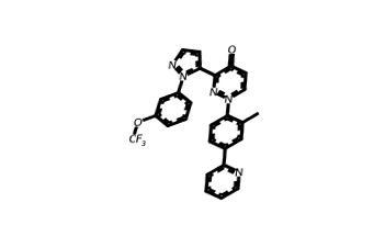 Cc1cc(-c2ccccn2)ccc1-n1ccc(=O)c(-c2ccnn2-c2cccc(OC(F)(F)F)c2)n1